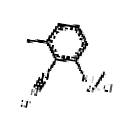 Cc1cccc(N)c1[N+]#N.[CH3][Zn+].[Cl-].[Cl-]